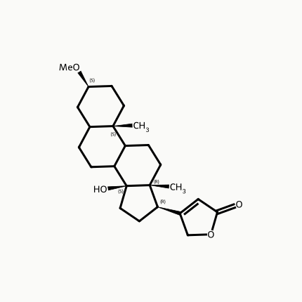 CO[C@H]1CC[C@@]2(C)C(CCC3C2CC[C@]2(C)[C@@H](C4=CC(=O)OC4)CC[C@]32O)C1